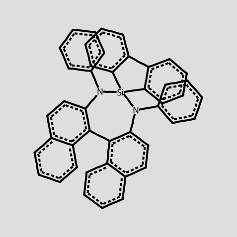 c1ccc(N2c3ccc4ccccc4c3-c3c(ccc4ccccc34)N(c3ccccc3)[Si]23c2ccccc2-c2ccccc23)cc1